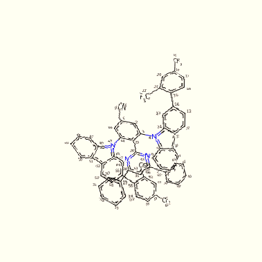 N#Cc1cc(-n2c3ccccc3c3ccc(-c4ccc(C(F)(F)F)cc4C(F)(F)F)cc32)c(-c2nc(-c3ccccc3)cc(-c3ccccc3)n2)c(-n2c3ccccc3c3ccc(-c4ccc(C(F)(F)F)cc4C(F)(F)F)cc32)c1